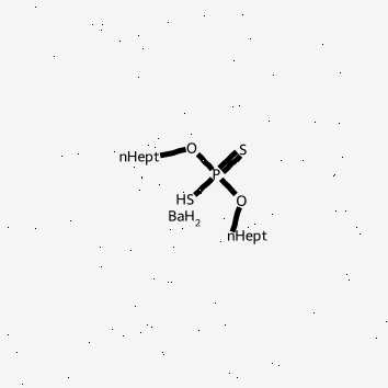 CCCCCCCOP(=S)(S)OCCCCCCC.[BaH2]